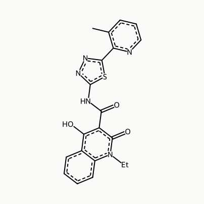 CCn1c(=O)c(C(=O)Nc2nnc(-c3ncccc3C)s2)c(O)c2ccccc21